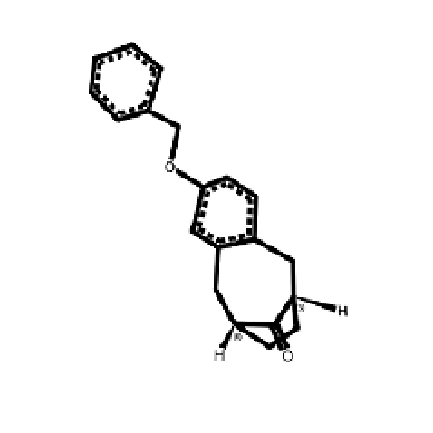 O=C1[C@@H]2CC[C@H]1Cc1ccc(OCc3ccccc3)cc1C2